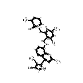 CCc1n[nH]c(-c2cc(C)nc3c(OCc4c(Cl)cc(C)nc4Cn4cccc(C(F)(F)F)c4=O)cccc23)c1C